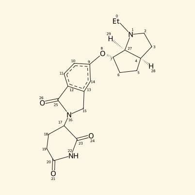 CCN1CC[C@H]2CC[C@H](Oc3ccc4c(c3)CN(C3CCC(=O)NC3=O)C4=O)[C@H]21